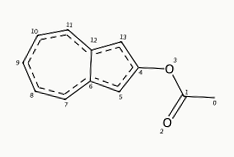 CC(=O)Oc1cc2cccccc-2c1